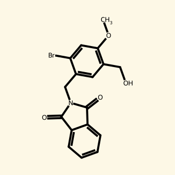 COc1cc(Br)c(CN2C(=O)c3ccccc3C2=O)cc1CO